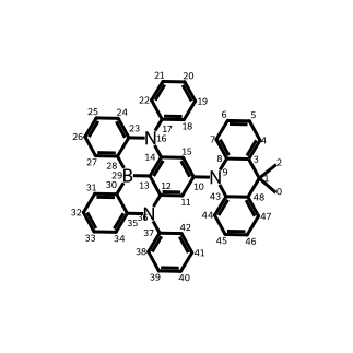 CC1(C)c2ccccc2N(c2cc3c4c(c2)N(c2ccccc2)c2ccccc2B4c2ccccc2N3c2ccccc2)c2ccccc21